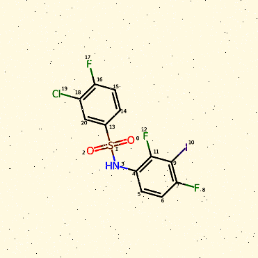 O=S(=O)(Nc1ccc(F)c(I)c1F)c1ccc(F)c(Cl)c1